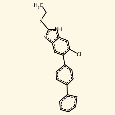 CCSc1nc2cc(-c3ccc(-c4ccccc4)cc3)c(Cl)cc2[nH]1